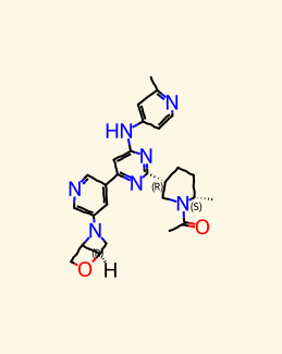 CC(=O)N1C[C@H](c2nc(Nc3ccnc(C)c3)cc(-c3cncc(N4C[C@H]5OCC54)c3)n2)CC[C@@H]1C